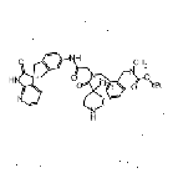 CN(Cc1ccccc1CN(CC(=O)Nc1ccc2c(c1)C[C@@]1(C2)C(=O)Nc2ncccc21)C(=O)C1(C)CCNCC1)C(=O)OC(C)(C)C